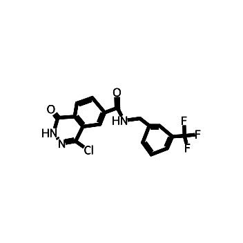 O=C(NCc1cccc(C(F)(F)F)c1)c1ccc2c(=O)[nH]nc(Cl)c2c1